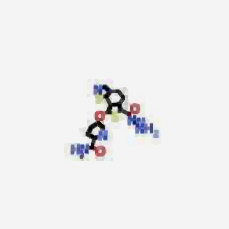 CNC(=O)c1ccc(Oc2sc(C(=O)N=NN)c3c2-c2sncc2CC3)cn1